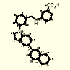 O=C(O)c1cccc(NCc2cccc(-n3ccc4cc(-c5ccc6ccccc6c5)ccc43)c2)c1